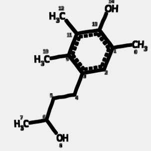 Cc1cc(CCC(C)O)c(C)c(C)c1O